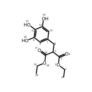 CCOC(=O)C(Cc1cc(O)c(O)c(O)c1)C(=O)OCC